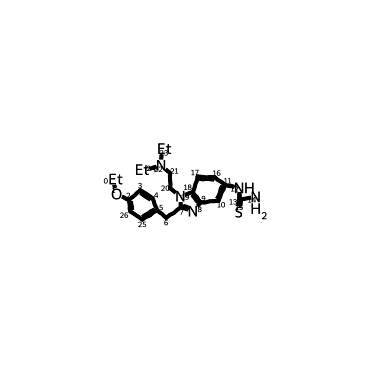 CCOc1ccc(Cc2nc3cc(NC(N)=S)ccc3n2CCN(CC)CC)cc1